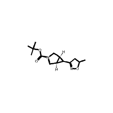 CC1CC(C2[C@H]3CN(C(=O)OC(C)(C)C)C[C@@H]23)=NO1